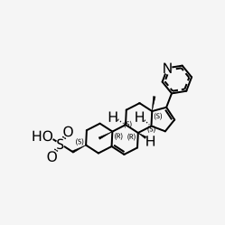 C[C@]12CC[C@H](CS(=O)(=O)O)CC1=CC[C@@H]1[C@@H]2CC[C@]2(C)C(c3cccnc3)=CC[C@@H]12